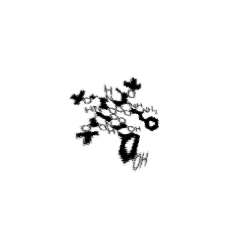 C[C@@H](OC(C)(C)C)[C@H](NC(=O)[C@@H](N)Cc1ccccc1)C(=O)N[C@@H](COC(C)(C)C)C(=O)N[C@@H](CC(=O)OC(C)(C)C)C(=O)N[C@@H](Cc1ccc(O)cc1)C(=O)O